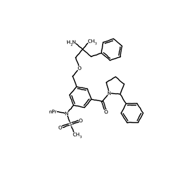 CCCN(c1cc(COCC(C)(N)Cc2ccccc2)cc(C(=O)N2CCCC2c2ccccc2)c1)S(C)(=O)=O